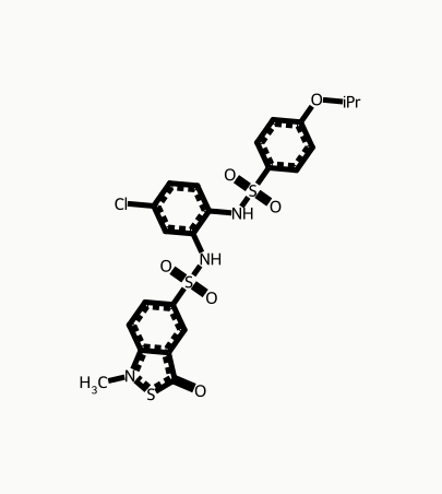 CC(C)Oc1ccc(S(=O)(=O)Nc2ccc(Cl)cc2NS(=O)(=O)c2ccc3c(c2)c(=O)sn3C)cc1